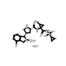 CCC1CC1(NC(=O)[C@@H]1C[C@@H](C2c3cccc(Cl)c3CN2C(=O)O)CN1)C(=O)NS(=O)(=O)C1CC1.Cl